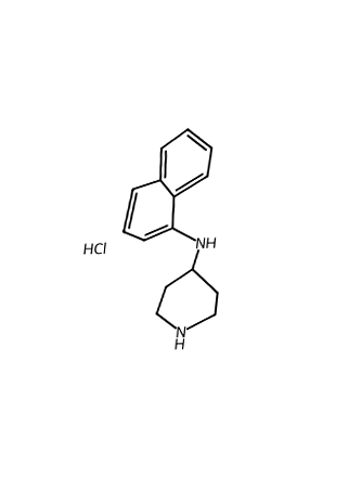 Cl.c1ccc2c(NC3CCNCC3)cccc2c1